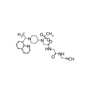 C#CCNC(=O)CNC(=O)CN(C1CCN(C(C)c2cccc3cccnc23)CC1)S(C)(=O)=O